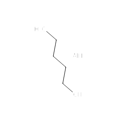 CCCCCC.[AlH3]